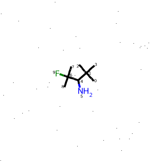 CC(C)(C)C(N)C(C)(C)F